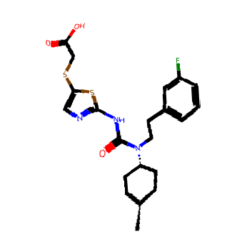 C[C@H]1CC[C@H](N(CCc2cccc(F)c2)C(=O)Nc2ncc(SCC(=O)O)s2)CC1